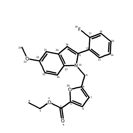 CCOC(=O)c1ccc(Cn2c(-c3ccccc3F)cc3cc(OC)ccc32)o1